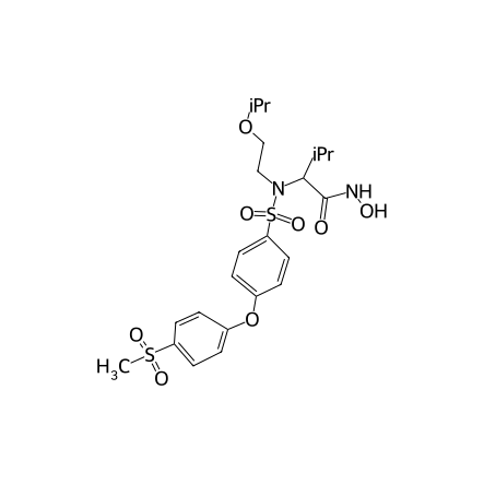 CC(C)OCCN(C(C(=O)NO)C(C)C)S(=O)(=O)c1ccc(Oc2ccc(S(C)(=O)=O)cc2)cc1